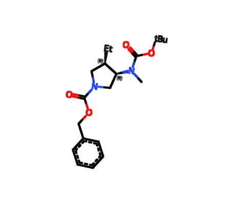 CC[C@@H]1CN(C(=O)OCc2ccccc2)C[C@@H]1N(C)C(=O)OC(C)(C)C